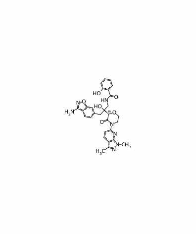 Cc1nn(C)c2nc(N3CCO[C@H](C(O)(CNC(=O)c4ccccc4O)Cc4ccc5c(N)noc5c4)C3=O)ccc12